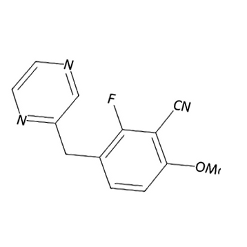 COc1ccc(Cc2cnccn2)c(F)c1C#N